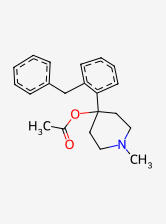 CC(=O)OC1(c2ccccc2Cc2ccccc2)CCN(C)CC1